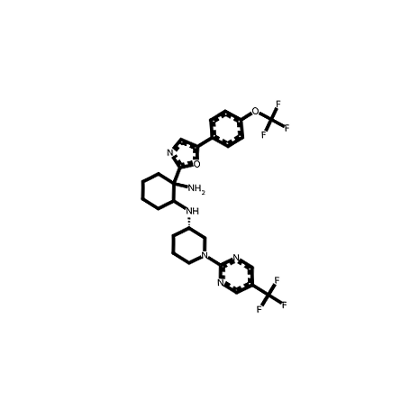 NC1(c2ncc(-c3ccc(OC(F)(F)F)cc3)o2)CCCCC1N[C@H]1CCCN(c2ncc(C(F)(F)F)cn2)C1